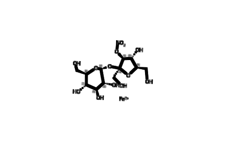 O=[N+]([O-])O[C@H]1[C@H](O)[C@@H](CO)O[C@@]1(CO)O[C@H]1O[C@H](CO)[C@@H](O)[C@H](O)[C@H]1O.[Fe+2]